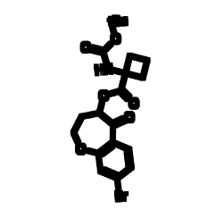 CC(C)(C)OC(=O)NC1(C(=O)OC2CCOc3cc(Br)ccc3C2=O)CCC1